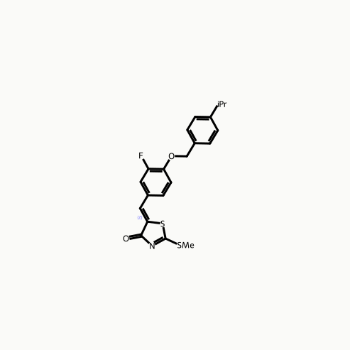 CSC1=NC(=O)/C(=C/c2ccc(OCc3ccc(C(C)C)cc3)c(F)c2)S1